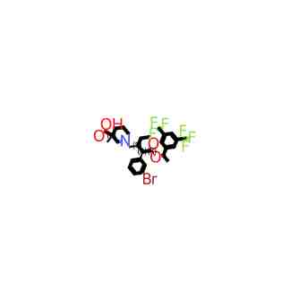 CC(O[C@H]1OCC[C@H](CN2CCC[C@@](C)(C(=O)O)C2)[C@@H]1c1cccc(Br)c1)c1cc(C(F)(F)F)cc(C(F)(F)F)c1